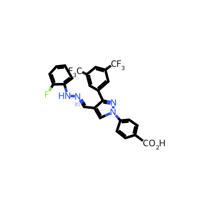 O=C(O)c1ccc(-n2cc(/C=N/Nc3ccccc3F)c(-c3cc(C(F)(F)F)cc(C(F)(F)F)c3)n2)cc1